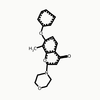 Cc1c(Oc2ccccc2)ccc2c(=O)cc(N3CCOCC3)oc12